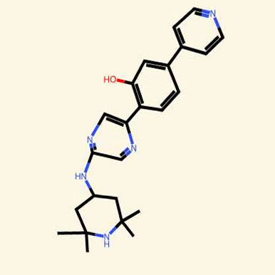 CC1(C)CC(Nc2cnc(-c3ccc(-c4ccncc4)cc3O)cn2)CC(C)(C)N1